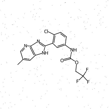 Cc1cnc2nc(-c3cc(NC(=O)OCC(F)(F)F)ccc3Cl)[nH]c2c1